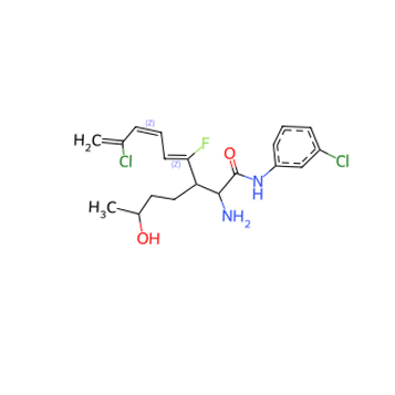 C=C(Cl)/C=C\C=C(/F)C(CCC(C)O)C(N)C(=O)Nc1cccc(Cl)c1